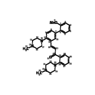 COc1ccccc1-c1ccc(N2CCN(C)CC2)c(C=CC(=O)c2ccccc2N2CCN(C)CC2)c1